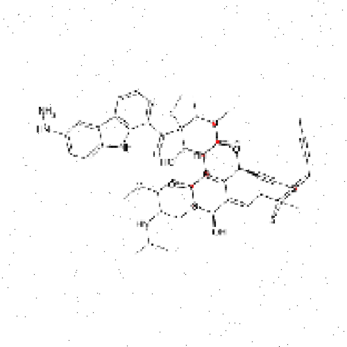 CC#C/C=C\C#C[C@H](OC1OC(C)C(SC)(C(=O)c2nccc3c2[nH]c2ccc(NN)cc23)C(O)C1OC1CC(OC)C(NC(C)C)CO1)C1=C(NC(=O)OC)C(=O)C[C@H](O)/C1=C/CS(C)(=S)=S